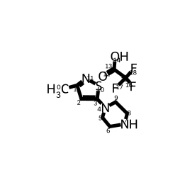 Cc1cc(N2CCNCC2)sn1.O=C(O)C(F)(F)F